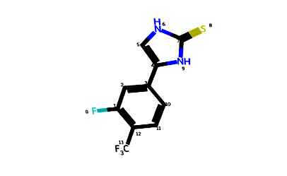 Fc1cc(-c2c[nH]c(=S)[nH]2)ccc1C(F)(F)F